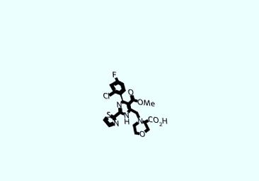 COC(=O)C1=C(CN2CCOCC2C(=O)O)NC(c2nccs2)=N[C@H]1c1ccc(F)cc1Cl